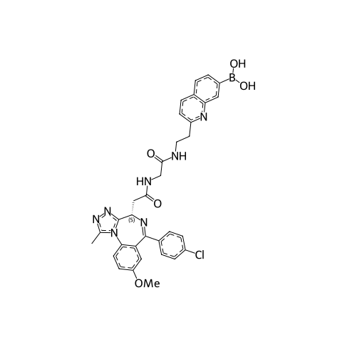 COc1ccc2c(c1)C(c1ccc(Cl)cc1)=N[C@@H](CC(=O)NCC(=O)NCCc1ccc3ccc(B(O)O)cc3n1)c1nnc(C)n1-2